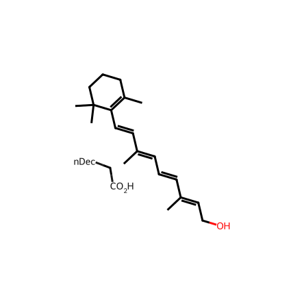 CC1=C(/C=C/C(C)=C/C=C/C(C)=C/CO)C(C)(C)CCC1.CCCCCCCCCCCC(=O)O